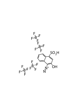 F[B-](F)(F)F.F[B-](F)(F)F.F[B-](F)(F)F.F[B-](F)(F)F.N#[N+]c1c(O)cc(S(=O)(=O)O)c2ccccc12